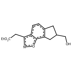 CCOC(=O)Cc1noc2c3c(ccc12)CC(CO)C3